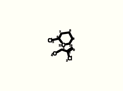 C=C(Cl)C[O].ClC1CCCCO1